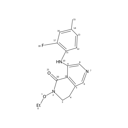 CCON1CCc2cncc(Nc3ccc(C)cc3F)c2C1=O